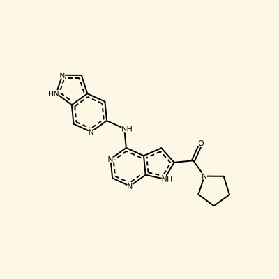 O=C(c1cc2c(Nc3cc4cn[nH]c4cn3)ncnc2[nH]1)N1CCCC1